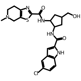 CN1CCc2nc(C(=O)NC3CC(CO)CC3NC(=O)c3cc4cc(Cl)ccc4[nH]3)sc2C1